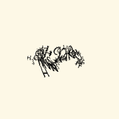 Cc1ccc(C(=O)Nc2cc(C(F)(F)F)ccn2)cc1C#Cc1cnc(NC(=O)NC(C)C2CNCCO2)s1